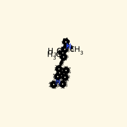 CCn1c2ccccc2c2cc3c(cc21)-c1ccc(C#Cc2ccc4c(c2)C(c2ccccc2)(c2ccccc2)c2cc(N(c5ccccc5)c5ccccc5)ccc2-4)cc1C3(C)C